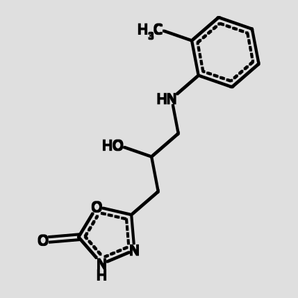 Cc1ccccc1NCC(O)Cc1n[nH]c(=O)o1